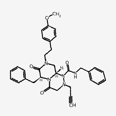 C#CCN1CC(=O)N2[C@@H](Cc3ccccc3)C(=O)N(CCc3ccc(OC)cc3)C[C@@H]2N1C(=O)NCc1ccccc1